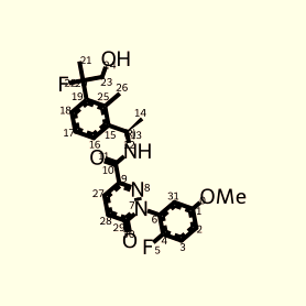 COc1ccc(F)c(-n2nc(C(=O)N[C@H](C)c3cccc(C(C)(F)CO)c3C)ccc2=O)c1